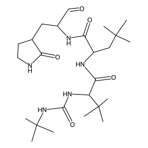 CC(C)(C)CC(NC(=O)C(NC(=O)NC(C)(C)C)C(C)(C)C)C(=O)NC(C=O)CC1CCNC1=O